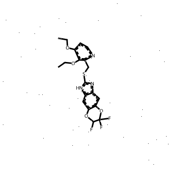 CCOc1ccnc(CSc2nc3cc4c(cc3[nH]2)OC(F)C(F)(F)O4)c1OCC